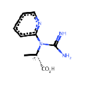 C[C@@H](C(=O)O)N(C(=N)N)c1ccccn1